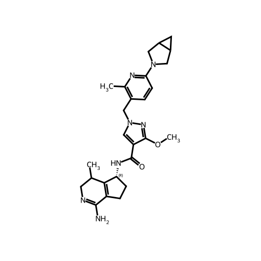 COc1nn(Cc2ccc(N3CC4CC4C3)nc2C)cc1C(=O)N[C@@H]1CCC2=C1C(C)CN=C2N